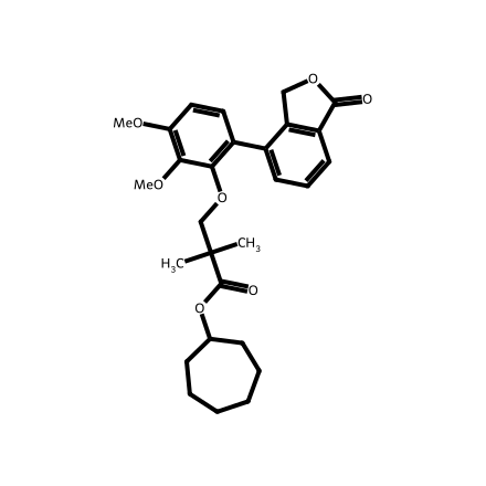 COc1ccc(-c2cccc3c2COC3=O)c(OCC(C)(C)C(=O)OC2CCCCCC2)c1OC